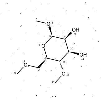 COC[C@H]1O[C@@H](OC)[C@@H](O)[C@@H](O)[C@@H]1OC